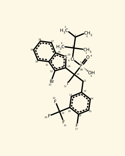 CC(C)C(C)(C)O[P@](=O)(O)C(I)(Cc1ccc(F)c(C(F)(F)F)c1)c1sc2ccccc2c1Br